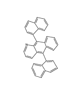 c1ccc2c(-c3c4ccccc4c(-c4cccc5ccccc45)c4ncccc34)cccc2c1